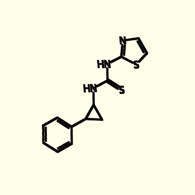 S=C(Nc1nccs1)NC1CC1c1ccccc1